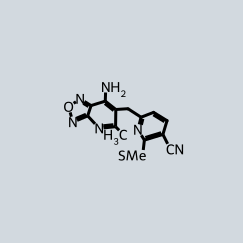 CSc1nc(Cc2c(C)nc3nonc3c2N)ccc1C#N